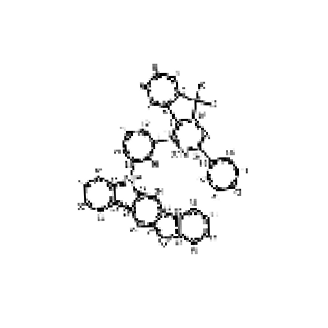 CC1(C)c2ccccc2-c2c(-c3cccc(-n4c5ccccc5c5cc6oc7ccccc7c6cc54)c3)nc(-c3ccccc3)nc21